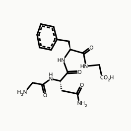 NCC(=O)N[C@@H](CC(N)=O)C(=O)N[C@@H](Cc1ccccc1)C(=O)NCC(=O)O